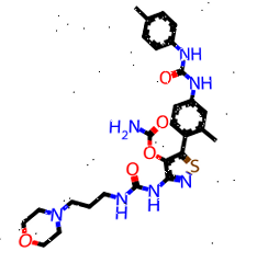 Cc1ccc(NC(=O)Nc2ccc(-c3snc(NC(=O)NCCCN4CCOCC4)c3OC(N)=O)c(C)c2)cc1